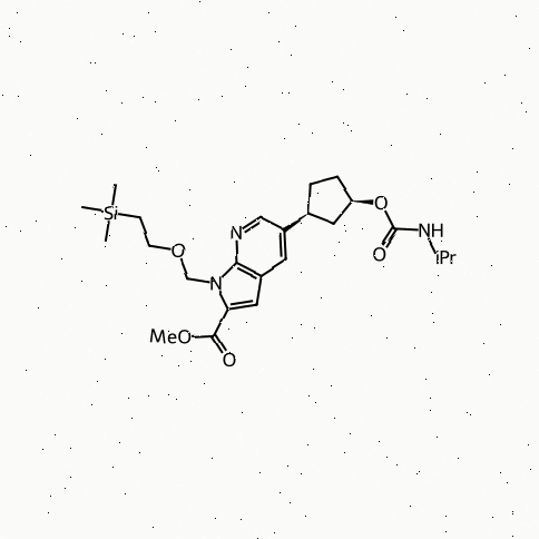 COC(=O)c1cc2cc([C@H]3CC[C@@H](OC(=O)NC(C)C)C3)cnc2n1COCC[Si](C)(C)C